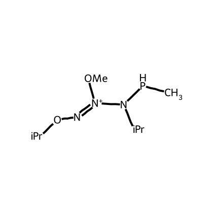 CO/[N+](=N\OC(C)C)N(PC)C(C)C